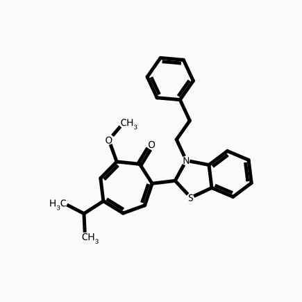 COc1cc(C(C)C)ccc(C2Sc3ccccc3N2CCc2ccccc2)c1=O